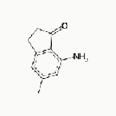 Cc1cc(N)c2c(c1)CCC2=O